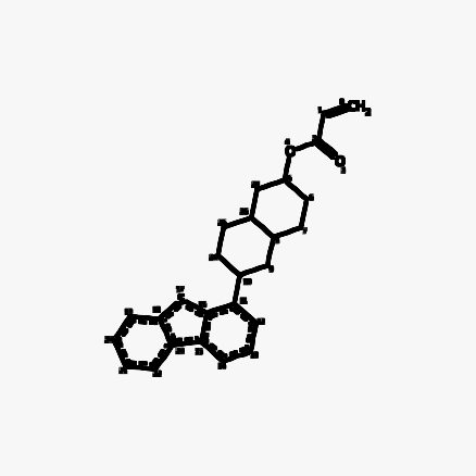 C=CC(=O)OC1CCC2CC(c3cccc4c3sc3ccccc34)CCC2C1